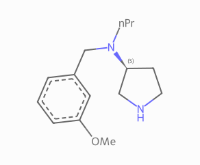 CCCN(Cc1cccc(OC)c1)[C@H]1CCNC1